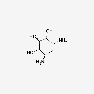 NC1C[C@@H](N)C(O)[C@@H](O)[C@@H]1O